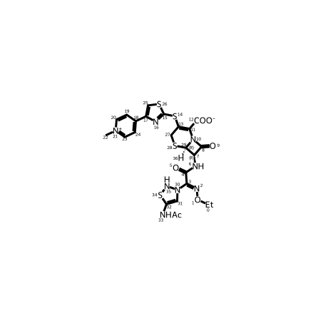 CCON=C(C(=O)N[C@@H]1C(=O)N2C(C(=O)[O-])=C(Sc3nc(-c4cc[n+](C)cc4)cs3)CS[C@H]12)N1C=C(NC(C)=O)SN1